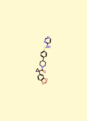 O=C(N1CCC(c2ccc(SNc3ccncn3)cc2)CC1)C1(c2ccc3c(c2)OCO3)CC1